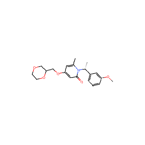 COc1cccc([C@@H](C)n2c(C)cc(OCC3COCCO3)cc2=O)c1